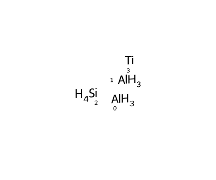 [AlH3].[AlH3].[SiH4].[Ti]